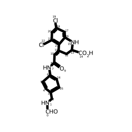 O=CNCc1ccc(NC(=O)C=C2CC(C(=O)O)Nc3cc(Cl)cc(Cl)c32)cc1